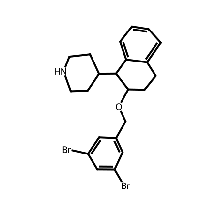 Brc1cc(Br)cc(COC2CCc3ccccc3C2C2CCNCC2)c1